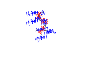 COc1cc(OC)c(C(=O)NCC2CCC(NC(=O)c3cc(C(=O)NCCN(C)C)c(OCCCCCNC(=N)N)cc3OCCCCCNC(=N)N)CC2)cc1C(=O)NCC1CCC(NC(=O)c2cc(C(=O)NCCN(C)C)c(OCCCCCNC(=N)N)cc2OCCCCCNC(=N)N)CC1